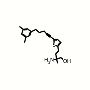 Cc1cc(C)cc(CCCC#Cc2ccc(CCC(C)(N)CO)s2)c1